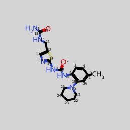 Cc1ccc(NC(=O)Nc2ncc(CNC(N)=O)s2)c(N2CCCCC2)c1